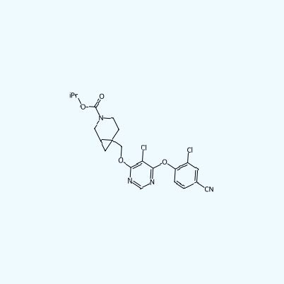 CC(C)OC(=O)N1CCC2(COc3ncnc(Oc4ccc(C#N)cc4Cl)c3Cl)CC2C1